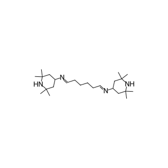 CC1(C)CC(N=CCCCCC=NC2CC(C)(C)NC(C)(C)C2)CC(C)(C)N1